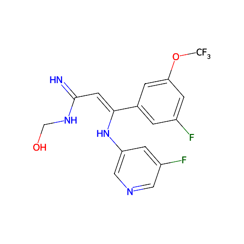 N=C(/C=C(\Nc1cncc(F)c1)c1cc(F)cc(OC(F)(F)F)c1)NCO